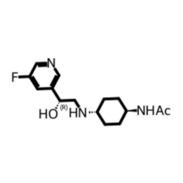 CC(=O)N[C@H]1CC[C@H](NC[C@H](O)c2cncc(F)c2)CC1